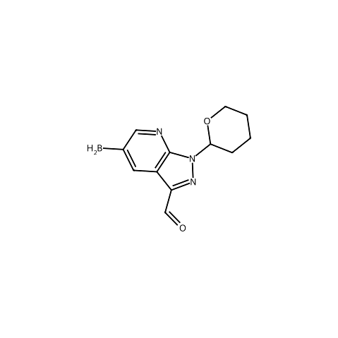 Bc1cnc2c(c1)c(C=O)nn2C1CCCCO1